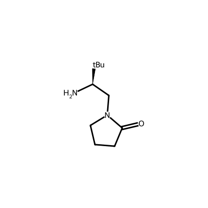 CC(C)(C)[C@H](N)CN1CCCC1=O